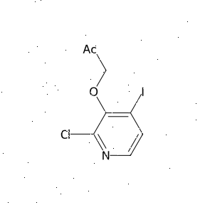 CC(=O)COc1c(I)ccnc1Cl